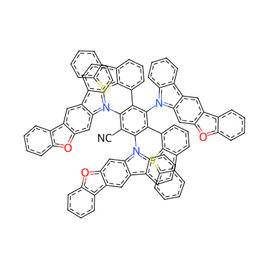 N#Cc1c(-n2c3ccccc3c3cc4c(cc32)oc2ccccc24)c(-c2cccc3c2sc2ccccc23)c(-n2c3ccccc3c3cc4c(cc32)oc2ccccc24)c(-c2cccc3c2sc2ccccc23)c1-n1c2ccccc2c2cc3c(cc21)oc1ccccc13